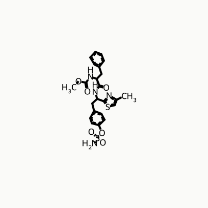 COC(=O)NC(Cc1ccccc1)C(=O)NC(Cc1ccc(OS(N)(=O)=O)cc1)c1nc(C)cs1